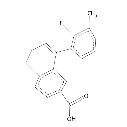 Cc1cccc(C2=CCCc3ccc(C(=O)O)cc32)c1F